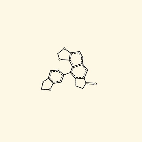 O=C1CCc2c1cc1ccc3c(c1c2-c1ccc2c(c1)OCO2)OCO3